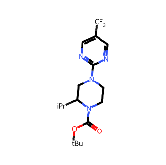 CC(C)C1CN(c2ncc(C(F)(F)F)cn2)CCN1C(=O)OC(C)(C)C